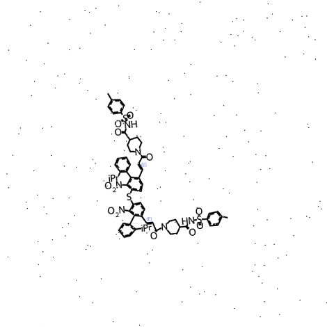 Cc1ccc(S(=O)(=O)NC(=O)C2CCN(C(=O)/C=C/c3ccc(Sc4ccc(/C=C/C(=O)N5CCC(C(=O)NS(=O)(=O)c6ccc(C)cc6)CC5)c(-c5ccccc5C(C)C)c4[N+](=O)[O-])c([N+](=O)[O-])c3-c3ccccc3C(C)C)CC2)cc1